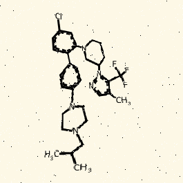 Cc1cnn(C2CCCN(c3cc(Cl)ccc3-c3ccc(N4CCN(CC(C)C)CC4)cc3)C2)c1C(F)(F)F